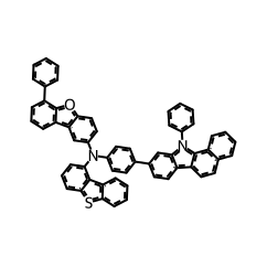 c1ccc(-c2cccc3c2oc2ccc(N(c4ccc(-c5ccc6c7ccc8ccccc8c7n(-c7ccccc7)c6c5)cc4)c4cccc5sc6ccccc6c45)cc23)cc1